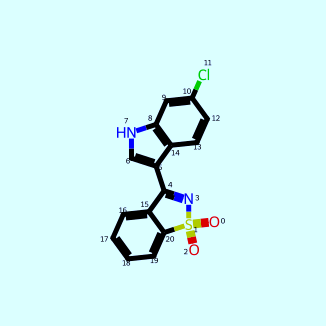 O=S1(=O)N=C(c2c[nH]c3cc(Cl)ccc23)c2ccccc21